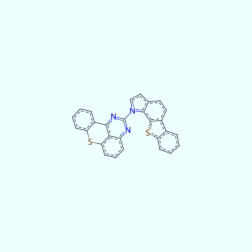 c1ccc2c(c1)Sc1cccc3nc(-n4ccc5ccc6c7ccccc7sc6c54)nc-2c13